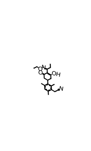 CCO/N=C(/CC)C1=C(O)CC(c2c(C)cc(C)c(CC#N)c2C)CC1=O